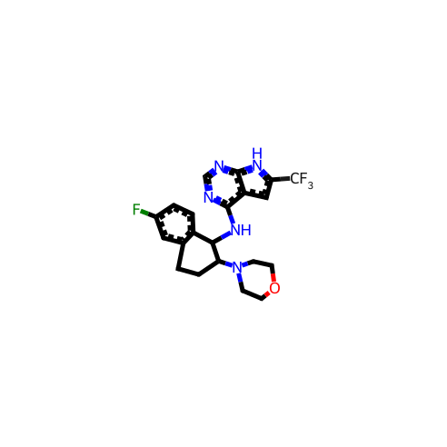 Fc1ccc2c(c1)CCC(N1CCOCC1)C2Nc1ncnc2[nH]c(C(F)(F)F)cc12